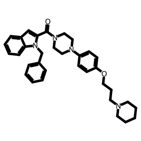 O=C(c1cc2ccccc2n1Cc1ccccc1)N1CCN(c2ccc(OCCCN3CCCCC3)cc2)CC1